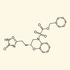 O=C(OCc1ccccc1)S(=O)(=O)N1C[C@H](CCc2nc(=O)[nH]o2)Oc2ccccc21